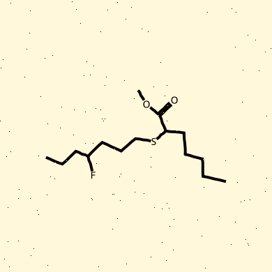 CCCCCC(SCCCC(F)CCC)C(=O)OC